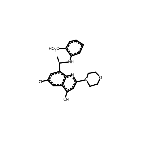 C[C@@H](Nc1ccccc1C(=O)O)c1cc(Cl)cc2c(C#N)cc(N3CCOCC3)nc12